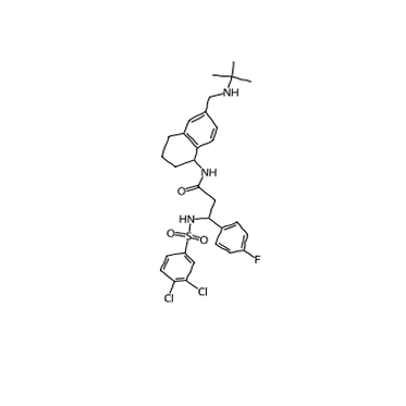 CC(C)(C)NCc1ccc2c(c1)CCCC2NC(=O)CC(NS(=O)(=O)c1ccc(Cl)c(Cl)c1)c1ccc(F)cc1